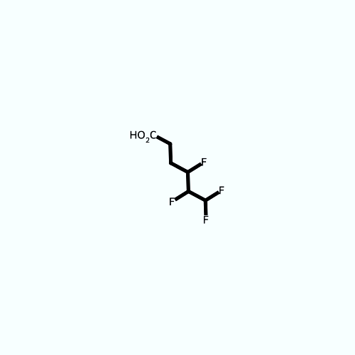 O=C(O)CCC(F)C(F)C(F)F